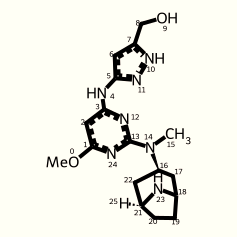 COc1cc(Nc2cc(CO)[nH]n2)nc(N(C)[C@H]2CC3CC[C@@H](C2)N3)n1